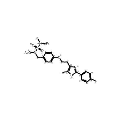 CC(=O)ON(Cc1ccc(OCCc2nc(-c3ccc(C)cc3)oc2C)cc1)S(=O)(=O)N(C)C(C)C